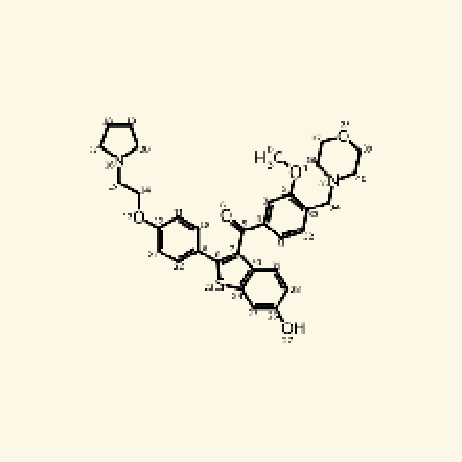 COc1cc(C(=O)c2c(-c3ccc(OCCN4CCCC4)cc3)sc3cc(O)ccc23)ccc1CN1CCOCC1